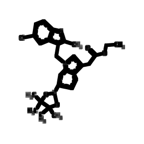 CCOC(=O)Cc1cn(Cc2c(C)sc3ccc(Cl)cc23)c2cc(B3OC(C)(C)C(C)(C)O3)ccc12